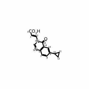 O=C(O)/C=C/n1cnc2ccc(C3CC3)cc2c1=O